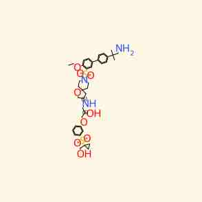 CCOc1ccc(-c2ccc(C(C)(C)CN)cc2)cc1S(=O)(=O)N1CCC2(CC1)C[C@H](NC[C@H](O)COc1cccc(S(=O)(=O)C3(CO)CC3)c1)CO2